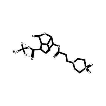 CC(C)(C)OC(=O)C1C2CC3C(OC(=O)C31)C2OC(=O)CCN1CCS(=O)(=O)CC1